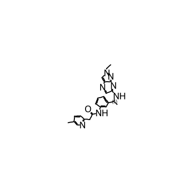 CCn1cc2ncc(N[C@@H](C)c3cccc(NC(=O)Cc4ccc(C)cn4)c3)nc2n1